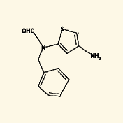 Nc1[c]sc(N(C=O)Cc2ccccc2)c1